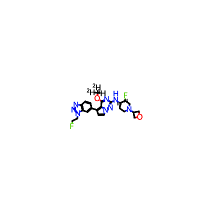 [2H]C([2H])([2H])Oc1nc(N[C@@H]2CCN(C3COC3)C[C@@H]2F)nn2ccc(-c3ccc4nnn(CCF)c4c3)c12